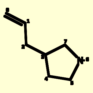 C=CCC1CC[N]C1